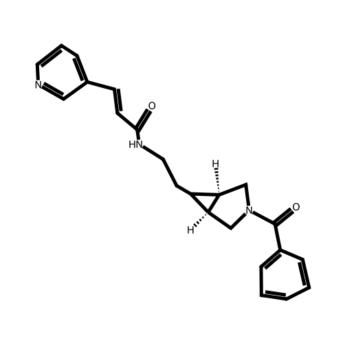 O=C(/C=C/c1cccnc1)NCCC1[C@H]2CN(C(=O)c3ccccc3)C[C@@H]12